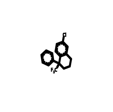 FC(F)(F)C1(c2ccccc2)CCCc2cc(Cl)ccc21